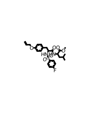 C=CCOc1ccc(CC(NS(=O)(=O)c2ccc(F)cc2)C(=O)NC(CC(C)C)C(=O)OC)cc1